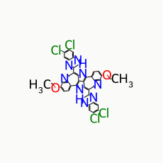 CCOc1ccc(-c2[nH]/c(=C(/C#N)c3cnc4cc(Cl)c(Cl)cc4n3)c3c(-c4ccc(OCC)cc4)[nH]/c(=C(/C#N)c4cnc5cc(Cl)c(Cl)cc5n4)c23)cc1